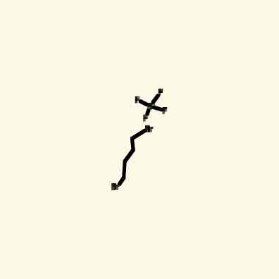 BrCCCCBr.F[B-](F)(F)F